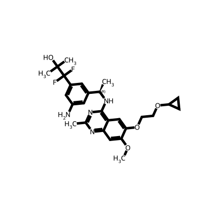 COc1cc2nc(C)nc(N[C@H](C)c3cc(N)cc(C(F)(F)C(C)(C)O)c3)c2cc1OCCOC1CC1